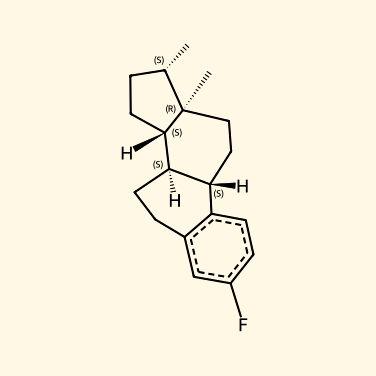 C[C@H]1CC[C@H]2[C@@H]3CCc4cc(F)ccc4[C@H]3CC[C@]12C